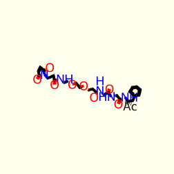 CC(=O)[C@H](Cc1ccccc1)NC(=O)CNC(=O)CNC(=O)CCOCCOCCNC(=O)CCN1C(=O)C=CC1=O